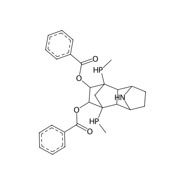 CPC12CC(PC)(C(OC(=O)c3ccccc3)C1OC(=O)c1ccccc1)C1C3CCC(N3)C12